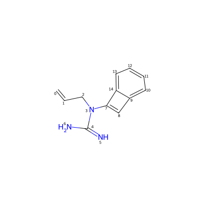 C=CCN(C(=N)N)C1=Cc2ccccc21